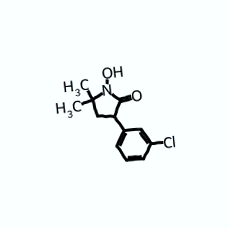 CC1(C)CC(c2cccc(Cl)c2)C(=O)N1O